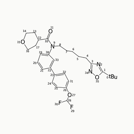 CC(C)(C)c1nc(CCCCCN(C(=O)C2CCOCC2)c2cccc(-c3ccc(OC(F)F)cc3)c2)no1